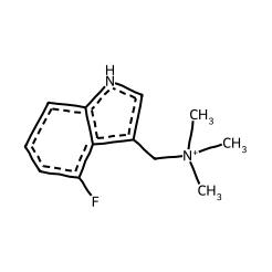 C[N+](C)(C)Cc1c[nH]c2cccc(F)c12